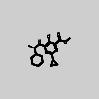 COC(=O)c1nc(C2CC2)nc(N[C@@H](C)C2CCCCC2)c1Cl